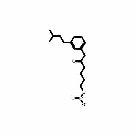 CC(C)CCc1cccc(CC(=O)CCCCO[N+](=O)[O-])c1